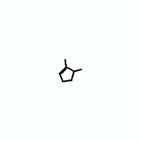 CC1=[C]CCC1C